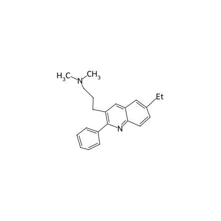 CCc1ccc2nc(-c3ccccc3)c(CCCN(C)C)cc2c1